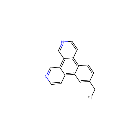 [2H]Cc1ccc2c3ccncc3c3cnccc3c2c1